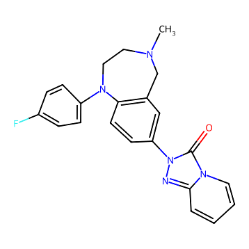 CN1CCN(c2ccc(F)cc2)c2ccc(-n3nc4ccccn4c3=O)cc2C1